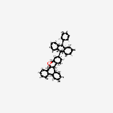 c1ccc(-c2c3ccccc3c(-c3ccc4c(c3)oc3c5ccccc5c5ccccc5c43)c3ccccc23)cc1